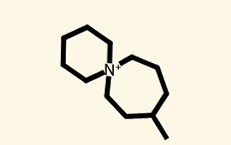 CC1CCC[N+]2(CCCCC2)CC1